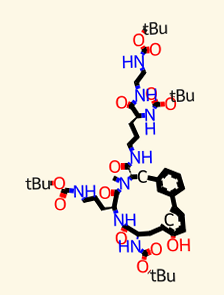 CN1C(=O)[C@H](CCCNC(=O)OC(C)(C)C)NC(=O)[C@@H](NC(=O)OC(C)(C)C)Cc2cc(ccc2O)-c2cccc(c2)C[C@H]1C(=O)NCCC[C@H](NC(=O)OC(C)(C)C)C(=O)NCCNC(=O)OC(C)(C)C